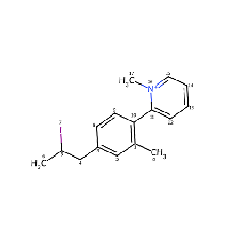 Cc1cc(CC(C)I)ccc1-c1cccc[n+]1C